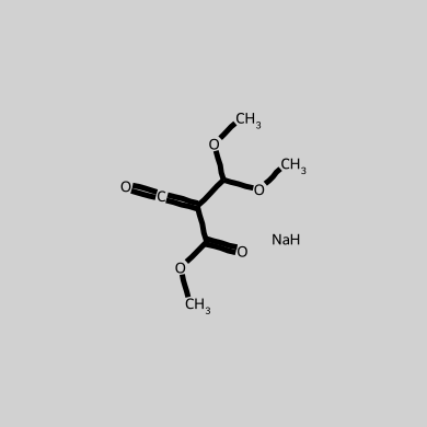 COC(=O)C(=C=O)C(OC)OC.[NaH]